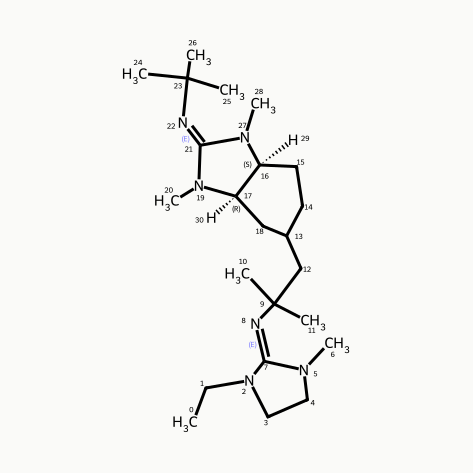 CCN1CCN(C)/C1=N\C(C)(C)CC1CC[C@H]2[C@@H](C1)N(C)/C(=N/C(C)(C)C)N2C